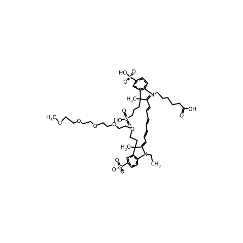 CCN1/C(=C/C=C/C=C/C=C/C2=[N+](CCCCCC(=O)O)c3ccc(S(=O)(=O)O)cc3C2(C)CCCS(=O)(=O)O)C(C)(CCOCCOCCOCCOCCOC)c2cc(S(=O)(=O)[O-])ccc21